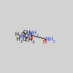 CC1(C)CC(N(N)C(=O)CCCCCCCC(N)=O)CC(C)(C)N1